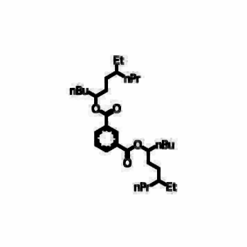 CCCCC(CCC(CC)CCC)OC(=O)c1cccc(C(=O)OC(CCCC)CCC(CC)CCC)c1